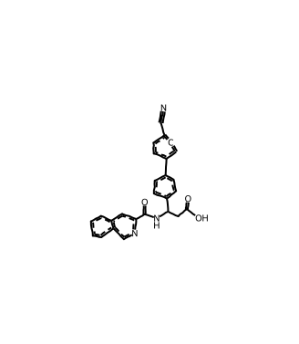 N#Cc1ccc(-c2ccc(C(CC(=O)O)NC(=O)c3cc4ccccc4cn3)cc2)cc1